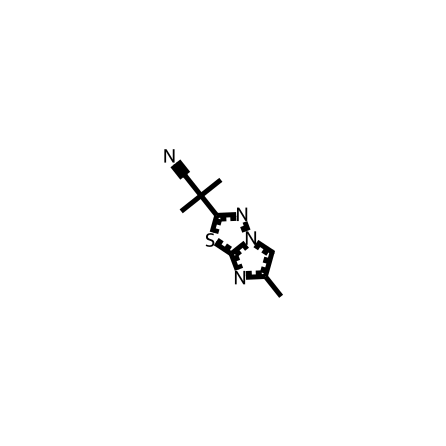 Cc1cn2nc(C(C)(C)C#N)sc2n1